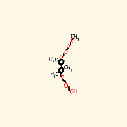 COCCOCCOCCOc1ccc(-c2cc(C)c(COCCOCCO)cc2C)cc1C